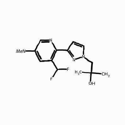 CNc1cnc(-c2ccn(CC(C)(C)O)n2)c(C(F)F)c1